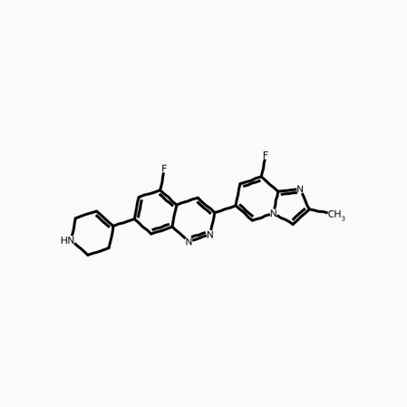 Cc1cn2cc(-c3cc4c(F)cc(C5=CCNCC5)cc4nn3)cc(F)c2n1